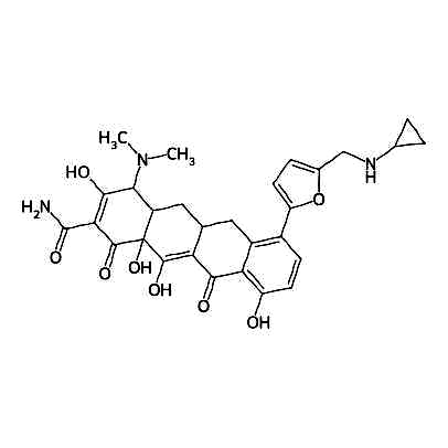 CN(C)C1C(O)=C(C(N)=O)C(=O)C2(O)C(O)=C3C(=O)c4c(O)ccc(-c5ccc(CNC6CC6)o5)c4CC3CC12